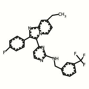 CCc1ccn2c(-c3ccnc(NCc4cccc(C(F)(F)F)c4)n3)c(-c3ccc(F)cc3)nc2c1